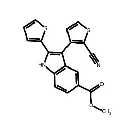 COC(=O)c1ccc2[nH]c(-c3cccs3)c(-c3ccsc3C#N)c2c1